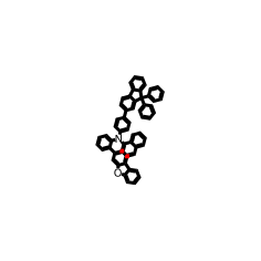 c1ccc(C2(c3ccccc3)c3ccccc3-c3ccc(-c4ccc(N(c5ccccc5-c5ccc6c(c5)oc5ccccc56)c5cccc6ccccc56)cc4)cc32)cc1